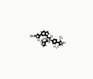 Cc1n[nH]c(C)c1-c1ccc(NC(=O)[C@@H](NC(=O)c2ccnn2C)[C@@H]2CCc3ccc(-c4cnn(C(C)(C)C)c4)cc32)cc1